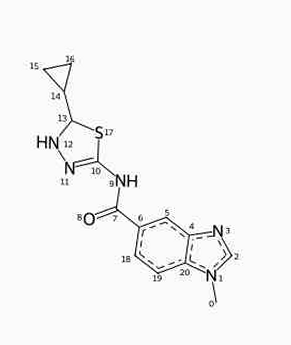 Cn1cnc2cc(C(=O)NC3=NNC(C4CC4)S3)ccc21